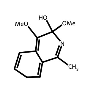 COC1=C2C=CCC=C2C(C)=NC1(O)OC